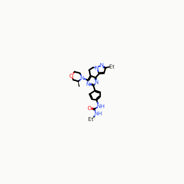 CCNC(=O)Nc1ccc(-c2nc3c(c(N4CCOC[C@@H]4C)n2)CCn2nc(CC)cc2-3)cc1